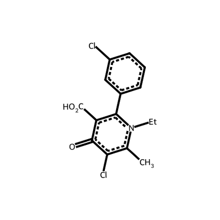 CCn1c(C)c(Cl)c(=O)c(C(=O)O)c1-c1cccc(Cl)c1